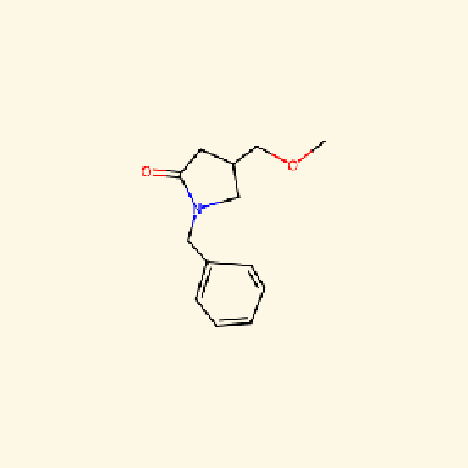 COCC1CC(=O)N(Cc2ccccc2)C1